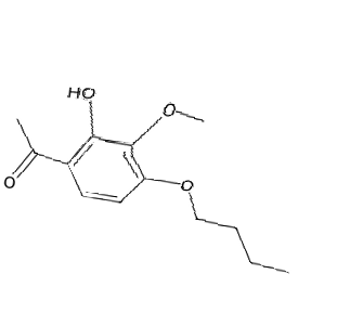 CCCCOc1ccc(C(C)=O)c(O)c1OC